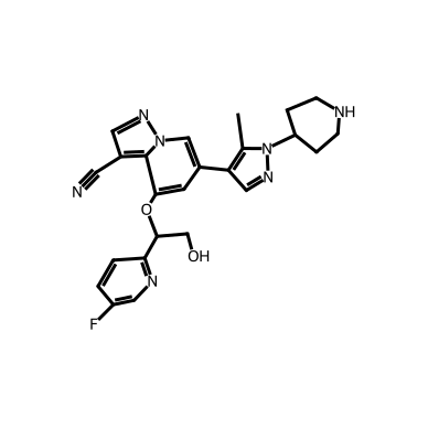 Cc1c(-c2cc(OC(CO)c3ccc(F)cn3)c3c(C#N)cnn3c2)cnn1C1CCNCC1